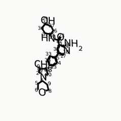 C[C@@H]1CN(C2CCOCC2)C[C@H]1c1ccc(-c2cnc(N)c(C(=O)N[C@H]3CC[C@@H](O)CC3)c2)cc1